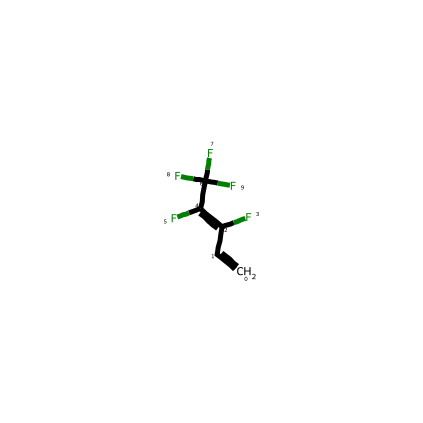 C=CC(F)=C(F)C(F)(F)F